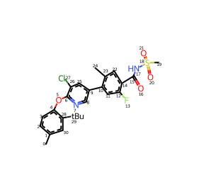 Cc1ccc(Oc2ncc(-c3cc(F)c(C(=O)NS(C)(=O)=O)cc3C)cc2Cl)c(C(C)(C)C)c1